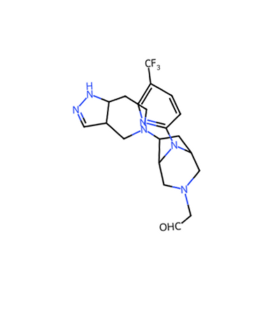 O=CCN1CC2CC(N3CCC4NN=CC4C3)C(C1)N2c1ccc(C(F)(F)F)cn1